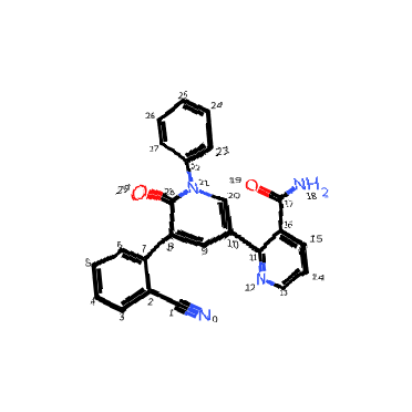 N#Cc1ccccc1-c1cc(-c2ncccc2C(N)=O)cn(-c2ccccc2)c1=O